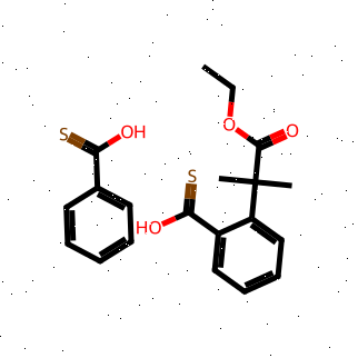 CCOC(=O)C(C)(C)c1ccccc1C(O)=S.OC(=S)c1ccccc1